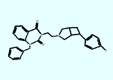 O=c1c2ccccc2n(Cc2ccccc2)c(=O)n1CCN1CC2CC(c3ccc(F)cc3)C2C1